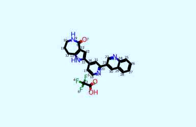 O=C(O)C(F)(F)F.O=C1NCCCc2[nH]c(-c3ccnc(-c4cnc5ccccc5c4)c3)cc21